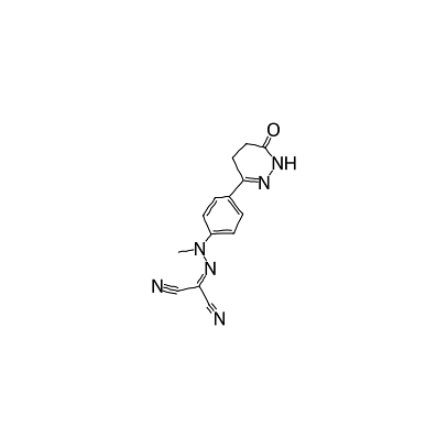 CN(N=C(C#N)C#N)c1ccc(C2=NNC(=O)CC2)cc1